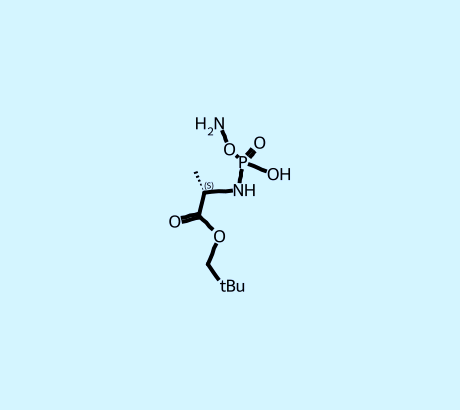 C[C@H](NP(=O)(O)ON)C(=O)OCC(C)(C)C